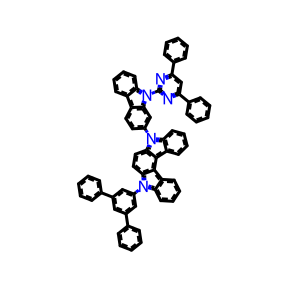 c1ccc(-c2cc(-c3ccccc3)cc(-n3c4ccccc4c4c5c6ccccc6n(-c6ccc7c8ccccc8n(-c8nc(-c9ccccc9)cc(-c9ccccc9)n8)c7c6)c5ccc43)c2)cc1